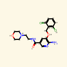 Nc1ncc(C(=O)NCCN2CCOCC2)cc1OCc1c(Cl)cccc1Cl